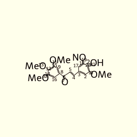 COc1cc(/C=C/C(=O)c2cc(OC)c(OC)c(OC)c2)cc([N+](=O)[O-])c1O